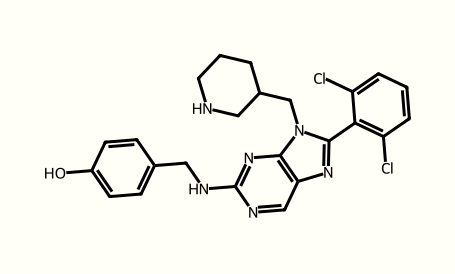 Oc1ccc(CNc2ncc3nc(-c4c(Cl)cccc4Cl)n(CC4CCCNC4)c3n2)cc1